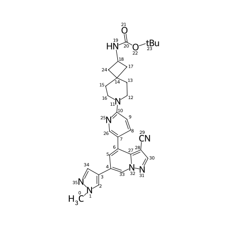 Cn1cc(-c2cc(-c3ccc(N4CCC5(CC4)CC(NC(=O)OC(C)(C)C)C5)nc3)c3c(C#N)cnn3c2)cn1